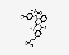 CC(=O)N(c1ccc(Cl)cc1)[C@@H]1C[C@H](C)N(C(=O)c2ccc(CCC(=O)Cl)cc2)c2ccccc21